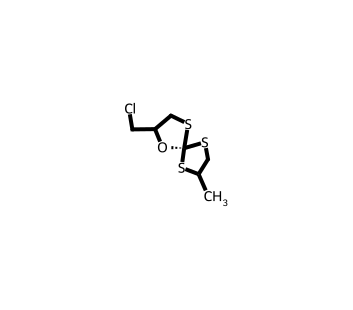 CC1CS[C@@]2(OC(CCl)CS2)S1